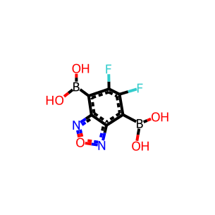 OB(O)c1c(F)c(F)c(B(O)O)c2nonc12